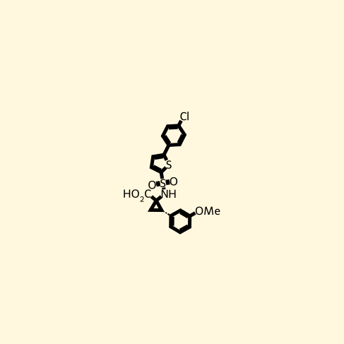 COc1cccc([C@@H]2CC2(NS(=O)(=O)c2ccc(-c3ccc(Cl)cc3)s2)C(=O)O)c1